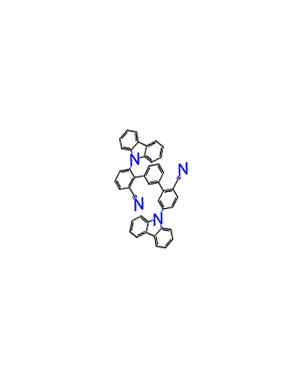 N#Cc1ccc(-n2c3ccccc3c3ccccc32)cc1-c1cccc(-c2c(C#N)cccc2-n2c3ccccc3c3ccccc32)c1